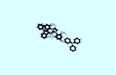 C1CCC(P(C2CCCCC2)C2CCCCC2)CC1.Cc1cc(C)c(-n2ccn(-c3c(C)cc(C)cc3C)[c]2=[Ru]=[C]2C=C(c3ccccc3)c3ccccc32)c(C)c1